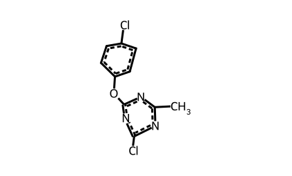 Cc1nc(Cl)nc(Oc2ccc(Cl)cc2)n1